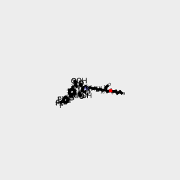 CC=C(CCCCCCC)CCCCCC/C=C/[C@H](C(=O)N[C@@H](Cc1ccc(Oc2ccc(C(F)(F)F)cc2)cc1)C(=O)O)[C@@H](CC(=O)O)C(=O)O